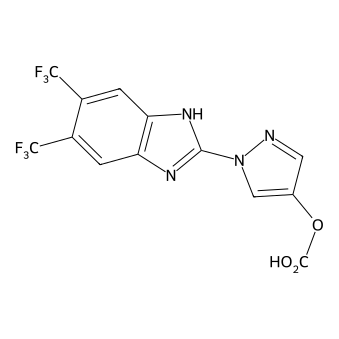 O=C(O)Oc1cnn(-c2nc3cc(C(F)(F)F)c(C(F)(F)F)cc3[nH]2)c1